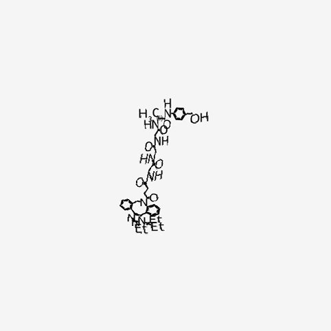 CCC(CC)(CC)n1nnc2c1-c1ccccc1N(C(=O)CCC(=O)NCC(=O)NCC(=O)NCC(=O)N[C@@H](C)C(=O)Nc1ccc(CO)cc1)Cc1ccccc1-2